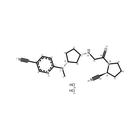 CN(c1ccc(C#N)cn1)[C@@H]1CC[C@H](NCC(=O)N2CCC[C@H]2C#N)C1.Cl.Cl